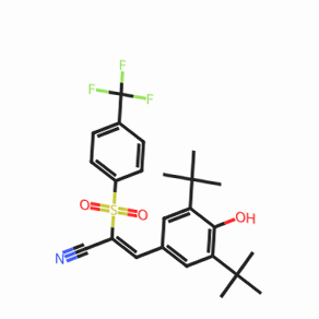 CC(C)(C)c1cc(C=C(C#N)S(=O)(=O)c2ccc(C(F)(F)F)cc2)cc(C(C)(C)C)c1O